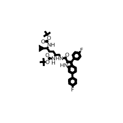 CC(C)(C)OC(=O)NC(CCC(NC(=O)OC(C)(C)C)C1CC1)CNC(=O)c1[nH]c2cc(-c3ccc(F)cc3)ccc2c1-c1ccc(F)cc1